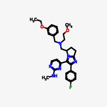 CCOc1cccc(CN(CCOC)CC2CCc3nc(-c4ccc(F)cc4)c(-c4ccnc(NC)n4)n32)c1